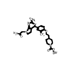 CC(C)(C)OC(=O)N1CCC(CCOc2ccc(-c3nc(C#N)nc4c3ccn4CC(N)=O)cc2C(F)(F)F)CC1